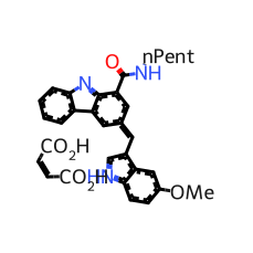 CCCCCNC(=O)c1cc(=Cc2c[nH]c3ccc(OC)cc23)cc2c1=Nc1ccccc1-2.O=C(O)/C=C\C(=O)O